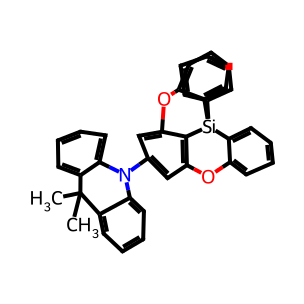 CC1(C)c2ccccc2N(c2cc3c4c(c2)Oc2ccccc2[Si]4(c2ccccc2)c2ccccc2O3)c2ccccc21